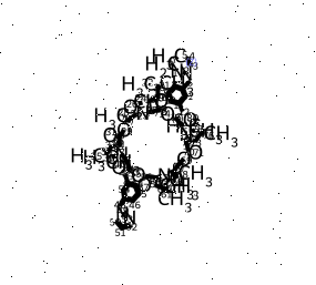 C=NN(/C=C\C)Cc1cccc(C[C@H]2OC(=O)[C@H](CCC(C)C)N(C)C(=O)[C@@H](C)OC(=O)[C@H](CC(C)C)N(C)C(=O)[C@@H](Cc3cccc(Cn4cccn4)c3)OC(=O)[C@H](CC(C)C)N(C)C(=O)[C@@H](C)OC(=O)[C@H](CC(C)C)N(C)C2=O)c1